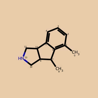 Cc1cccc2c1C(C)C1CNCC21